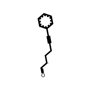 O=C[CH]CCC#Cc1ccccc1